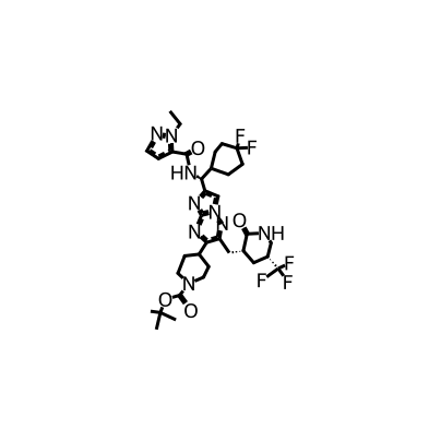 CCn1nccc1C(=O)N[C@H](c1cn2nc(C[C@H]3C[C@@H](C(F)(F)F)CNC3=O)c(C3CCN(C(=O)OC(C)(C)C)CC3)nc2n1)C1CCC(F)(F)CC1